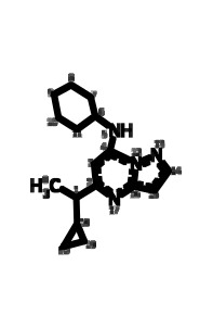 CC(c1cc(NC2CCCCC2)n2nccc2n1)C1CC1